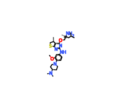 COc1cc(Nc2nc(OC[C@@](C)(N)CC(C)C)c3c(n2)SCC3C)ccc1N1CCC(N(C)C)CC1